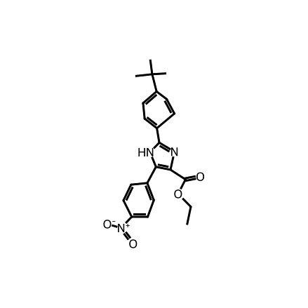 CCOC(=O)c1nc(-c2ccc(C(C)(C)C)cc2)[nH]c1-c1ccc([N+](=O)[O-])cc1